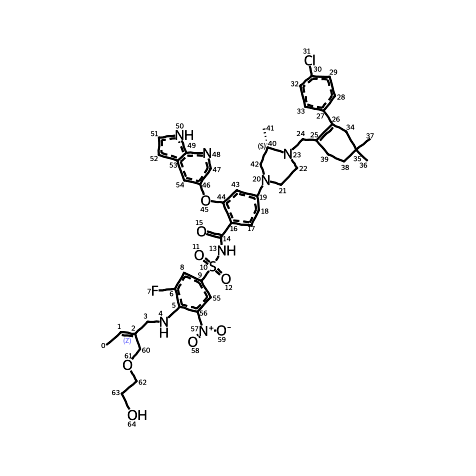 C/C=C(/CNc1c(F)cc(S(=O)(=O)NC(=O)c2ccc(N3CCN(CC4=C(c5ccc(Cl)cc5)CC(C)(C)CC4)[C@@H](C)C3)cc2Oc2cnc3[nH]ccc3c2)cc1[N+](=O)[O-])COCCO